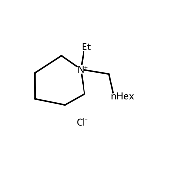 CCCCCCC[N+]1(CC)CCCCC1.[Cl-]